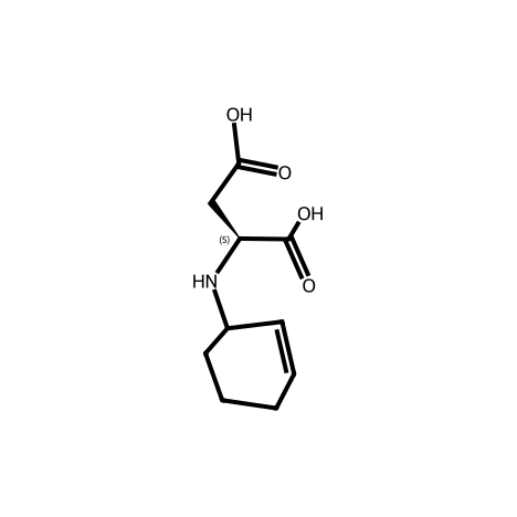 O=C(O)C[C@H](NC1C=CCCC1)C(=O)O